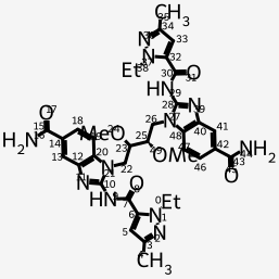 CCn1nc(C)cc1C(=O)Nc1nc2cc(C(N)=O)ccc2n1CC(OC)[C@@H](Cn1c(NC(=O)c2cc(C)nn2CC)nc2cc(C(N)=O)ccc21)OC